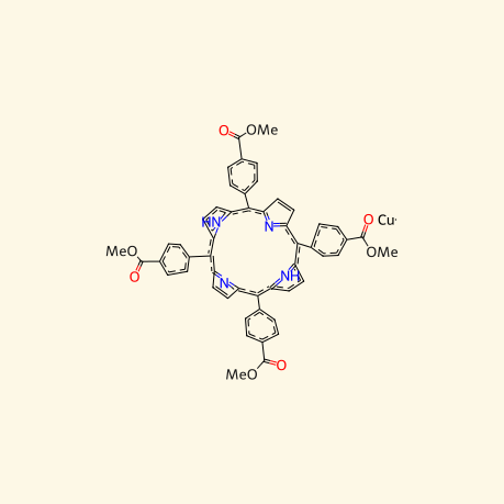 COC(=O)c1ccc(-c2c3nc(c(-c4ccc(C(=O)OC)cc4)c4ccc([nH]4)c(-c4ccc(C(=O)OC)cc4)c4nc(c(-c5ccc(C(=O)OC)cc5)c5ccc2[nH]5)C=C4)C=C3)cc1.[Cu]